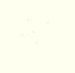 CC(C)NC(C)C.[SiH4]